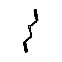 C=CCOP=O